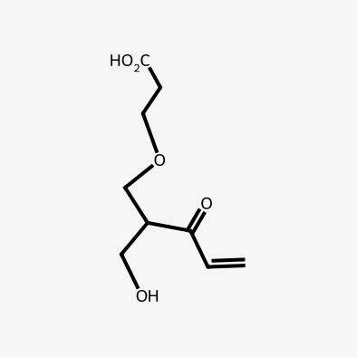 C=CC(=O)C(CO)COCCC(=O)O